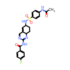 CC(=O)Nc1ccc(S(=O)(=O)NC2C=C3C=NC(NC(=O)c4ccc(F)cc4)=NC3CC2)cc1